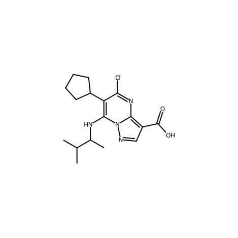 CC(C)C(C)Nc1c(C2CCCC2)c(Cl)nc2c(C(=O)O)cnn12